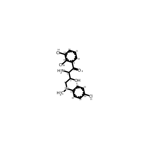 CN(CC(O)C(N)C(=O)c1cccc(Cl)c1Cl)c1ccc(Cl)cc1